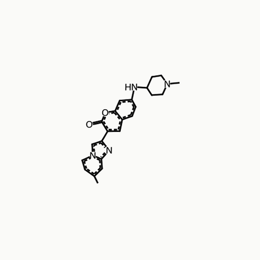 Cc1ccn2cc(-c3cc4ccc(NC5CCN(C)CC5)cc4oc3=O)nc2c1